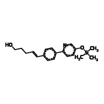 C[Si](C)(C)Oc1ccc(-c2ccc(C=CCCCO)cc2)nc1